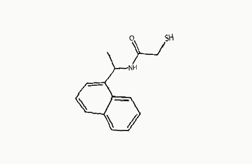 CC(NC(=O)CS)c1cccc2ccccc12